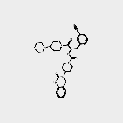 N#Cc1cccc(CC(NC(=O)N2CCC(N3Cc4ccccc4NC3=O)CC2)C(=O)N2CCC(N3CCCCC3)CC2)c1